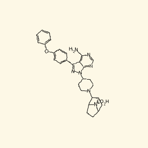 Nc1ncnc2c1c(-c1ccc(Oc3ccccc3)cc1)nn2C1CCN(C2CCC3CCC2N3C(=O)O)CC1